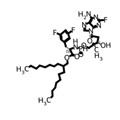 CCCCCCCCC(CCCCCCCC)COC(=O)[C@H](Cc1cc(F)cc(F)c1)N[PH](=O)OC[C@@]1(C)O[C@@H](n2cnc3c(N)nc(F)nc32)C[C@@H]1O